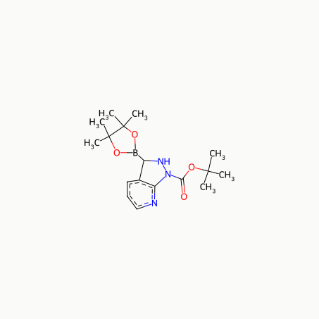 CC(C)(C)OC(=O)N1NC(B2OC(C)(C)C(C)(C)O2)c2cccnc21